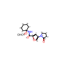 O=COC1(NC(=O)c2cc(N3CCCC3=O)co2)CCCCC1